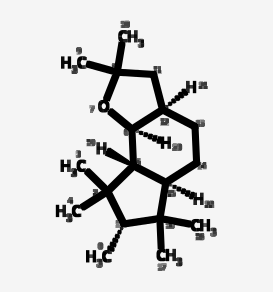 C[C@@H]1C(C)(C)[C@@H]2[C@H]3OC(C)(C)C[C@H]3CC[C@H]2C1(C)C